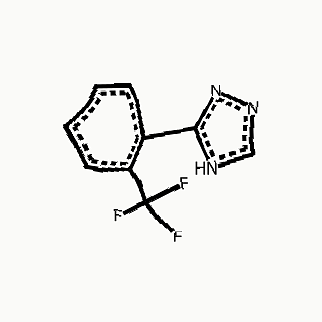 FC(F)(F)c1ccccc1-c1nnc[nH]1